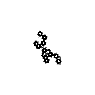 N#Cc1cc(-n2c3ccc(-c4cccc(-c5ccccc5)c4)cc3c3c4ccccc4ccc32)cc(C#N)c1-n1c2ccc(-c3ccc4oc5ccccc5c4c3)cc2c2c3ccccc3ccc21